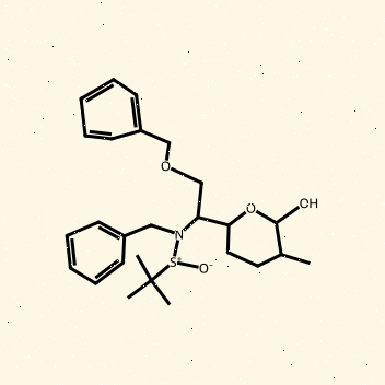 CC1CCC(C(COCc2ccccc2)N(Cc2ccccc2)[S+]([O-])C(C)(C)C)OC1O